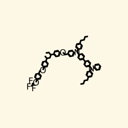 CCCCc1ccc(N(c2ccccc2)c2ccc(-c3ccc(N(c4ccc(CCCC)cc4)c4ccc(COc5ccc(C(CC)CC(C)c6ccc(OCc7ccc(OC(F)=C(F)F)cc7)cc6)cc5)cc4)cc3)cc2)cc1